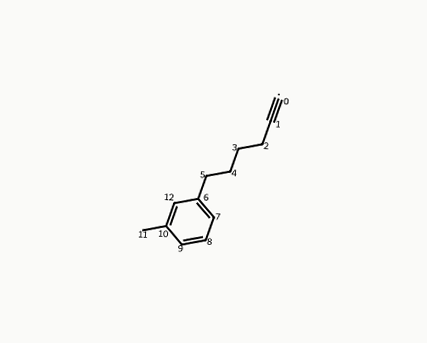 [C]#CCCCCc1cccc(C)c1